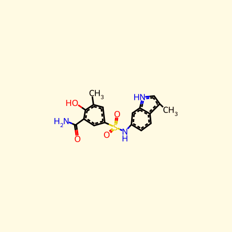 Cc1cc(S(=O)(=O)Nc2ccc3c(C)c[nH]c3c2)cc(C(N)=O)c1O